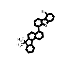 CC1(C)c2ccccc2-c2c1ccc1c(-c3cccc4c3sc3cccc(Br)c34)cccc21